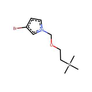 C[Si](C)(C)CCOCn1ccc(Br)c1